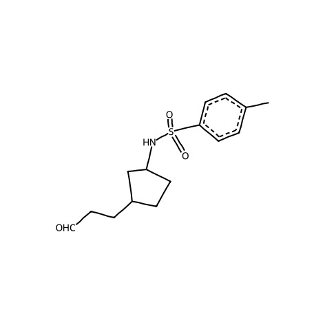 Cc1ccc(S(=O)(=O)NC2CCC(CCC=O)C2)cc1